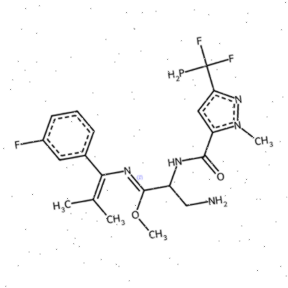 CO/C(=N\C(=C(C)C)c1cccc(F)c1)C(CN)NC(=O)c1cc(C(F)(F)P)nn1C